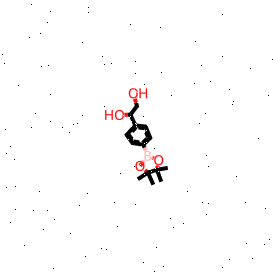 CC1(C)OB(c2ccc(C(O)CO)cc2)OC1(C)C